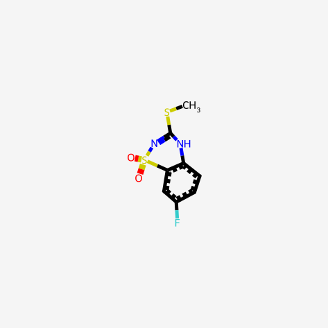 CSC1=NS(=O)(=O)c2cc(F)ccc2N1